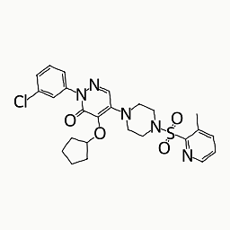 Cc1cccnc1S(=O)(=O)N1CCN(c2cnn(-c3cccc(Cl)c3)c(=O)c2OC2CCCC2)CC1